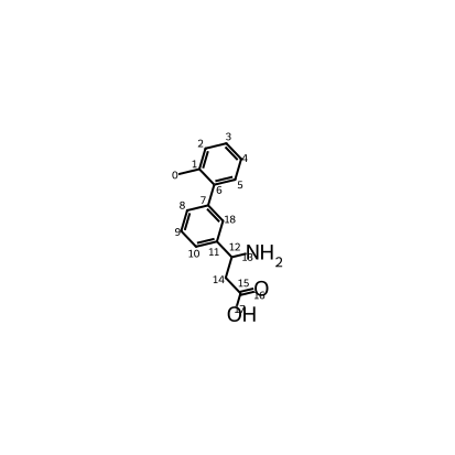 Cc1ccccc1-c1cccc(C(N)CC(=O)O)c1